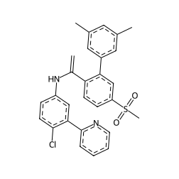 C=C(Nc1ccc(Cl)c(-c2ccccn2)c1)c1ccc(S(C)(=O)=O)cc1-c1cc(C)cc(C)c1